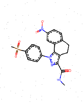 CNC(=O)c1nn(-c2ccc(S(C)(=O)=O)cc2)c2c1CCc1ccc([N+](=O)[O-])cc1-2